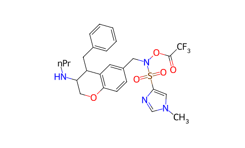 CCCNC1COc2ccc(CN(OC(=O)C(F)(F)F)S(=O)(=O)c3cn(C)cn3)cc2C1Cc1ccccc1